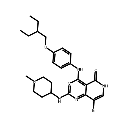 CCC(CC)COc1ccc(Nc2nc(NC3CCN(C)CC3)nc3c(Br)c[nH]c(=O)c23)cc1